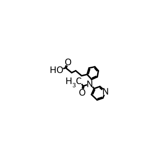 CC(=O)N(c1cccnc1)c1ccccc1CCCC(=O)O